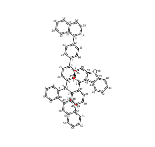 c1ccc(N(c2ccc(-c3ccc(-c4cccc5ccccc45)cc3)cc2)c2ccccc2-c2cccc3oc4ccccc4c23)c(-c2ccc3ccccc3c2)c1